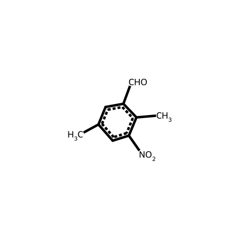 Cc1cc(C=O)c(C)c([N+](=O)[O-])c1